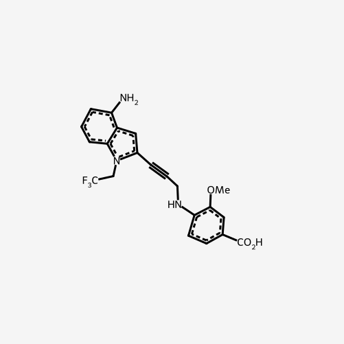 COc1cc(C(=O)O)ccc1NCC#Cc1cc2c(N)cccc2n1CC(F)(F)F